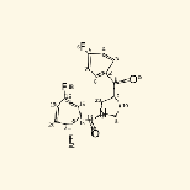 O=C(c1ccc(F)cc1)C1CCN(C(=O)c2cc(F)ccc2F)C1